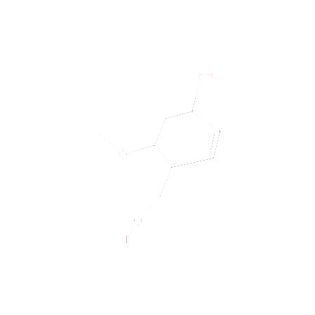 BC1C=CC(COI)C(OI)C1